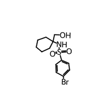 O=S(=O)(NC1(CO)CCCCC1)c1ccc(Br)cc1